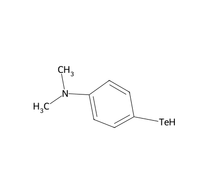 CN(C)c1ccc([TeH])cc1